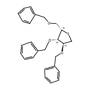 c1ccc(COC[C@@H]2SC[C@@H](OCc3ccccc3)[C@@H]2OCc2ccccc2)cc1